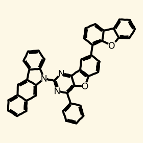 c1ccc(-c2nc(-n3c4ccccc4c4cc5ccccc5cc43)nc3c2oc2ccc(-c4cccc5c4oc4ccccc45)cc23)cc1